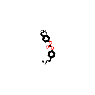 CCc1ccc(OC(=O)Oc2ccc(CC)cc2)cc1